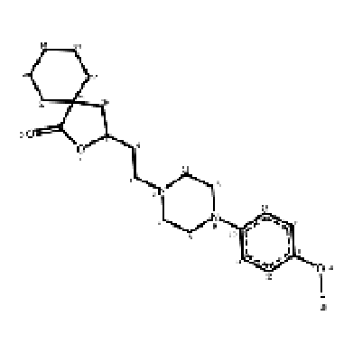 O=C1OC(CCN2CCN(c3ccc(OF)cc3)CC2)CC12CCCCC2